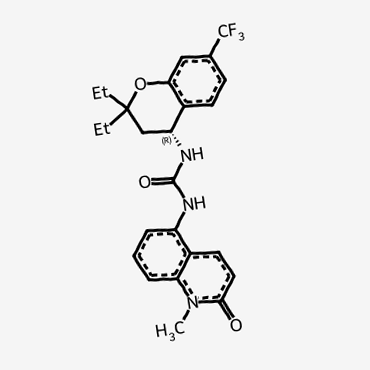 CCC1(CC)C[C@@H](NC(=O)Nc2cccc3c2ccc(=O)n3C)c2ccc(C(F)(F)F)cc2O1